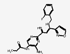 CCC(=O)Nc1cnc(C(=N)/C=C(\NCc2ccccc2F)c2ccon2)nc1N